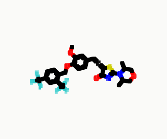 COc1cc(C=C=C2SC(N3C(C)COCC3C)=NC2=O)ccc1OCc1ccc(C(F)(F)F)cc1C(F)(F)F